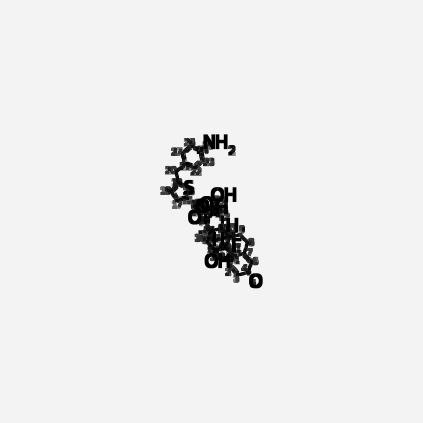 C[C@]12C=CC(=O)C=C1CC[C@H]1[C@@H]3C[C@H]4O[C@@H](c5ccc(Cc6ccc(N)cc6)s5)O[C@@]4(C(=O)CO)[C@@]3(C)C[C@H](O)[C@@]12F